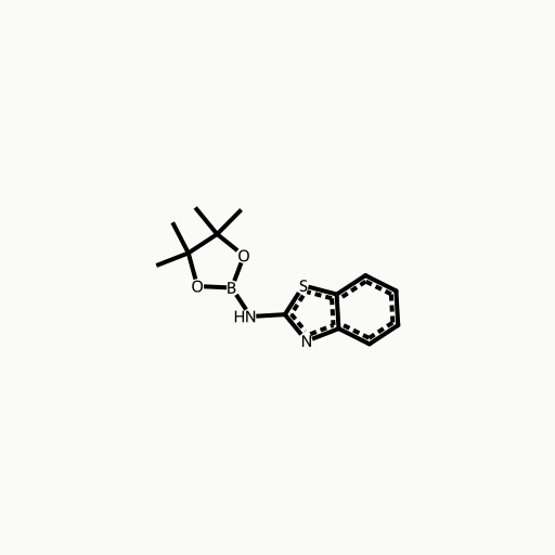 CC1(C)OB(Nc2nc3ccccc3s2)OC1(C)C